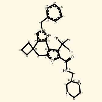 CC(F)(F)c1c(C(=O)NC[C@@H]2COCCO2)oc2c1-c1nn(Cc3ccccn3)cc1C1(CCC1)C2